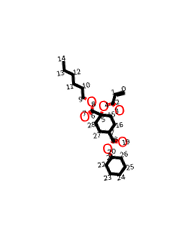 C=CC(=O)OC1(C(=O)OCCCCCC)CCC(C(=O)OC2CCCCC2)CC1